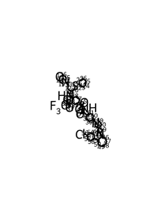 O=C(NS(=O)(=O)c1ccc(NC(CCN2CCOCC2)CSc2ccccc2)c(S(=O)(=O)C(F)(F)F)c1)c1ccc(N2CCC3(C2)CN(C2CCCCC=C2c2ccc(Cl)cc2)C3)cc1